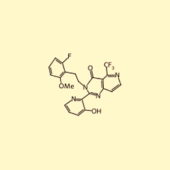 COc1cccc(F)c1CCn1c(-c2ncccc2O)nc2ccnc(C(F)(F)F)c2c1=O